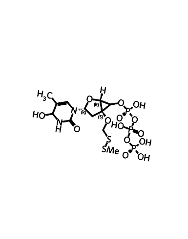 CSSCO[C@@]12C[C@H](N3C=C(C)C(O)NC3=O)O[C@@H]1C2OP(=O)(O)OP(=O)(O)OP(=O)(O)O